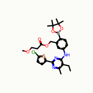 CCc1c(C)nc(-c2ccc(Cl)s2)nc1Nc1ccc(B2OC(C)(C)C(C)(C)O2)c(COC(=O)CCOC)c1